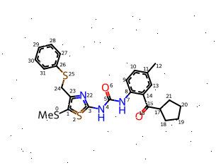 CSc1sc(NC(=O)Nc2ccc(C)cc2C(=O)C2CCCC2)nc1CSc1ccccc1